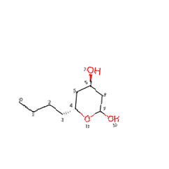 CCCC[C@@H]1C[C@@H](O)CC(O)O1